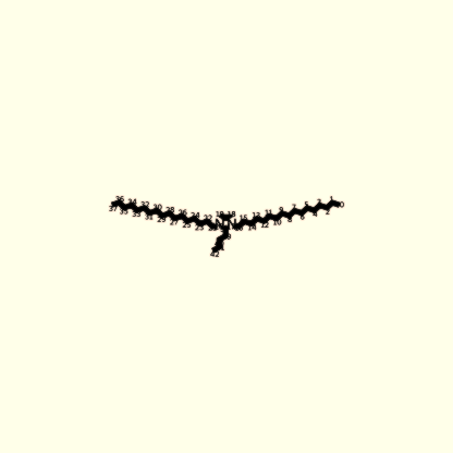 CCCCCCCCCCCCCCCCCN1C=CN(CCCCCCCCCCCCCCCCC)C1CCCC